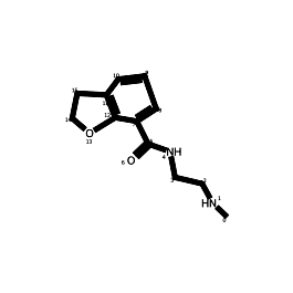 CNCCNC(=O)c1cccc2c1OCC2